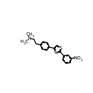 CN(C)CCc1ccc(-c2csc(-c3cccc([N+](=O)[O-])c3)n2)cc1